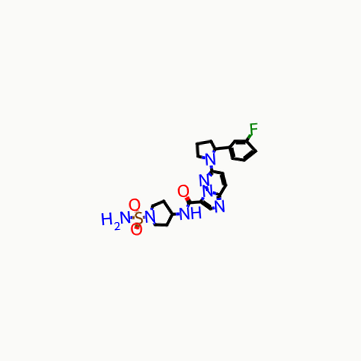 NS(=O)(=O)N1CCC(NC(=O)c2cnc3ccc(N4CCCC4c4cccc(F)c4)nn23)CC1